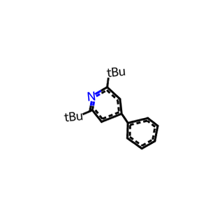 CC(C)(C)c1cc(-c2ccccc2)cc(C(C)(C)C)n1